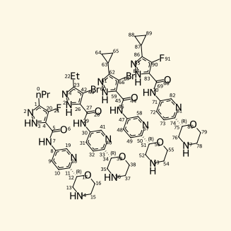 CCCc1n[nH]c(C(=O)Nc2ccc([C@H]3CNCCO3)nc2)c1F.CCc1n[nH]c(C(=O)Nc2ccc([C@H]3CNCCO3)nc2)c1Br.O=C(Nc1ccc([C@H]2CNCCO2)nc1)c1[nH]nc(C2CC2)c1Br.O=C(Nc1ccc([C@H]2CNCCO2)nc1)c1[nH]nc(C2CC2)c1F